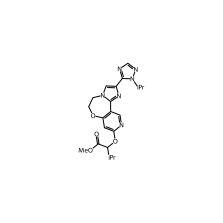 COC(=O)C(Oc1cc2c(cn1)-c1nc(-c3ncnn3C(C)C)cn1CCO2)C(C)C